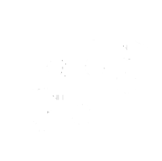 CCOc1cc(C(=O)N[C@@H](CC(=O)O)Cc2ccccc2)nn1Cc1ccc(-c2ccccc2S(=O)(=O)NC(C)=O)cc1F